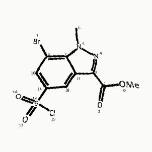 COC(=O)c1nn(C)c2c(Br)cc(S(=O)(=O)Cl)cc12